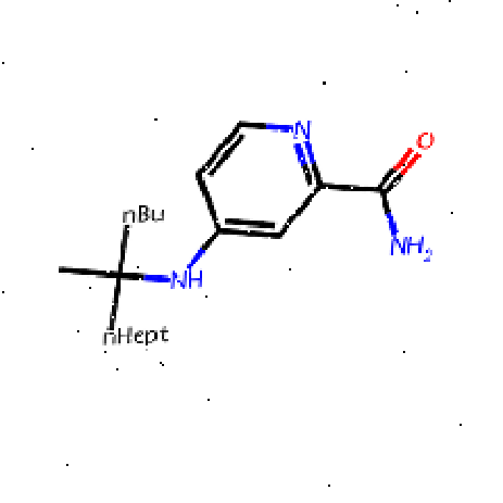 CCCCCCCC(C)(CCCC)Nc1ccnc(C(N)=O)c1